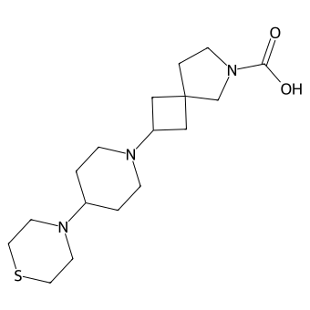 O=C(O)N1CCC2(CC(N3CCC(N4CCSCC4)CC3)C2)C1